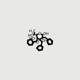 CC(O)[C@H]1OC(O)[C@@](O)(Cc2ccccc2)[C@](O)(Cc2ccccc2)[C@@]1(O)Cc1ccccc1